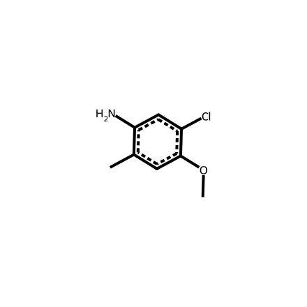 COc1cc(C)c(N)cc1Cl